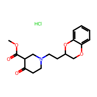 COC(=O)C1CN(CCC2COc3ccccc3O2)CCC1=O.Cl